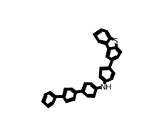 c1ccc(-c2ccc(-c3ccc(Nc4ccc(-c5ccc6sc7ccccc7c6c5)cc4)cc3)cc2)cc1